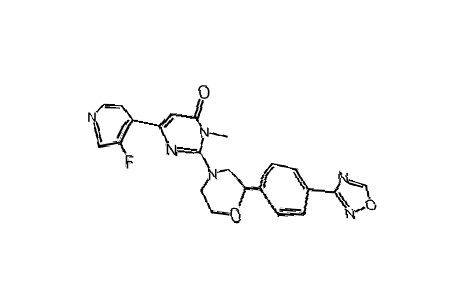 Cn1c(N2CCOC(c3ccc(-c4ncon4)cc3)C2)nc(-c2ccncc2F)cc1=O